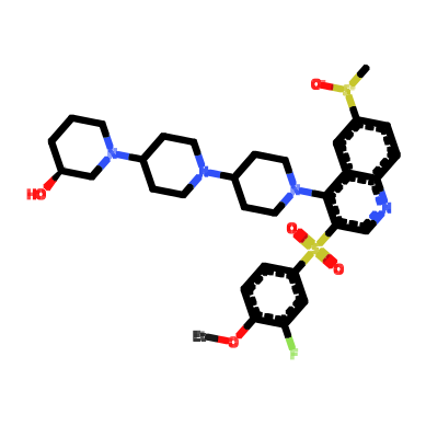 CCOc1ccc(S(=O)(=O)c2cnc3ccc([S+](C)[O-])cc3c2N2CCC(N3CCC(N4CCC[C@H](O)C4)CC3)CC2)cc1F